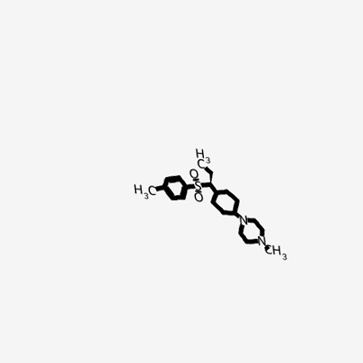 CC[C@@H](C1CCC(N2CCN(C)CC2)CC1)S(=O)(=O)c1ccc(C)cc1